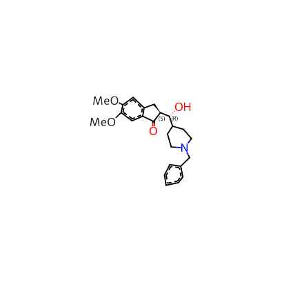 COc1cc2c(cc1OC)C(=O)[C@H]([C@H](O)C1CCN(Cc3ccccc3)CC1)C2